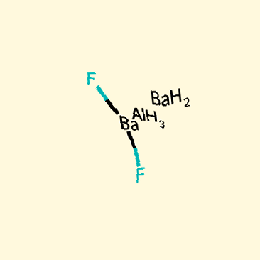 [AlH3].[BaH2].[F][Ba][F]